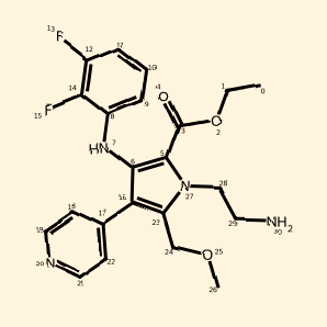 CCOC(=O)c1c(Nc2cccc(F)c2F)c(-c2ccncc2)c(COC)n1CCN